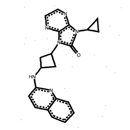 O=c1n(C2CC2)c2nccnc2n1C1CC(Nc2ccc3ccccc3n2)C1